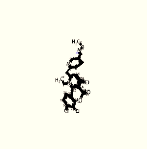 CCn1c(Cc2ccc(/C=N/OC)cn2)cc(=O)c(C(=O)O)c1-c1ccc(Cl)c(Cl)c1